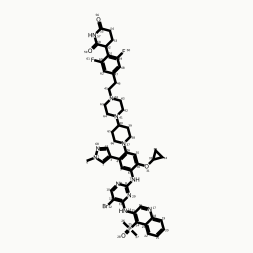 Cn1cc(-c2cc(Nc3ncc(Br)c(Nc4cnc5ccccc5c4P(C)(C)=O)n3)c(OC3CC3)cc2N2CCC(N3CCN(CCc4cc(F)c(C5CCC(=O)NC5=O)c(F)c4)CC3)CC2)cn1